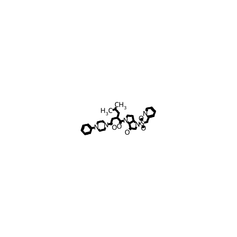 CC(C)CC(CC(=O)N1CCN(c2ccccc2)CC1)C(=O)N1CCC2C1C(=O)CN2S(=O)(=O)Cc1ccccn1